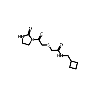 O=C(CSCC(=O)N1CCNC1=O)NCC1CCC1